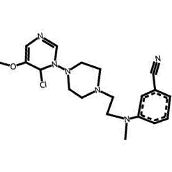 COC1=CN=CN(N2CCN(CCN(C)c3cccc(C#N)c3)CC2)C1Cl